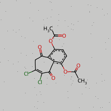 CC(=O)Oc1ccc(OC(C)=O)c2c1C(=O)CC(Cl)=C(Cl)C2=O